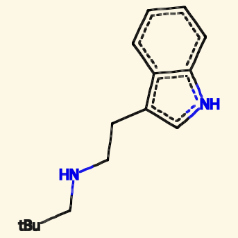 CC(C)(C)CNCCc1c[nH]c2ccccc12